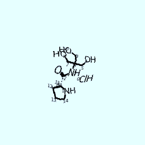 Cl.O=C(NC(CO)(CO)CO)[C@H]1CCCN1